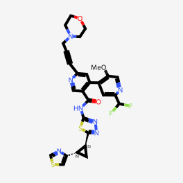 COc1cnc(C(F)F)cc1-c1cc(C#CCN2CCOCC2)ncc1C(=O)Nc1nnc([C@H]2C[C@@H]2c2cscn2)s1